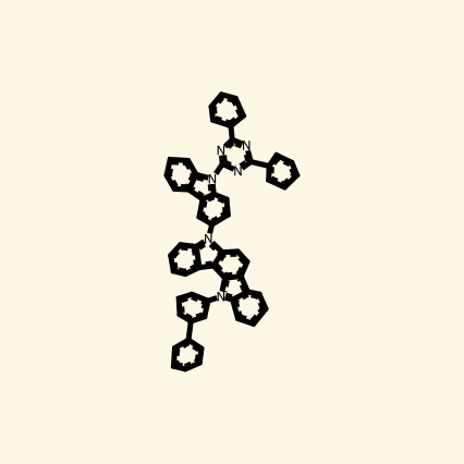 c1ccc(-c2cccc(-n3c4ccccc4c4ccc5c(c6ccccc6n5-c5ccc6c(c5)c5ccccc5n6-c5nc(-c6ccccc6)nc(-c6ccccc6)n5)c43)c2)cc1